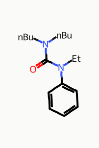 CCCCN(CCCC)C(=O)N(CC)c1ccccc1